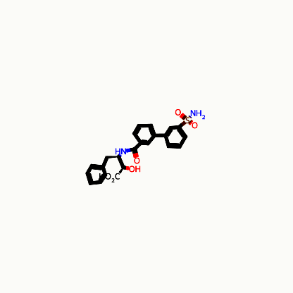 NS(=O)(=O)c1cccc(-c2cccc(C(=O)N[C@H](Cc3ccccc3)[C@@H](O)C(=O)O)c2)c1